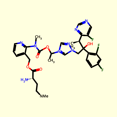 CNCC[C@H](N)C(=O)OCc1cccnc1N(C)C(=O)OC(C)[n+]1cnn(CC(O)(c2ccc(F)cc2F)[C@@H](C)c2ncncc2F)c1